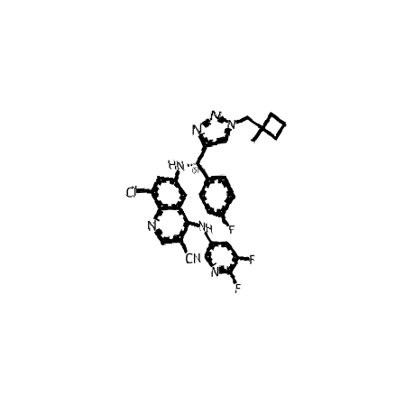 CC1(Cn2cc([C@@H](Nc3cc(Cl)c4ncc(C#N)c(Nc5cnc(F)c(F)c5)c4c3)c3ccc(F)cc3)nn2)CCC1